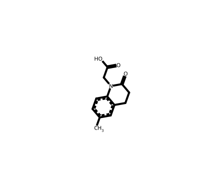 Cc1ccc2c(c1)CCC(=O)N2CC(=O)O